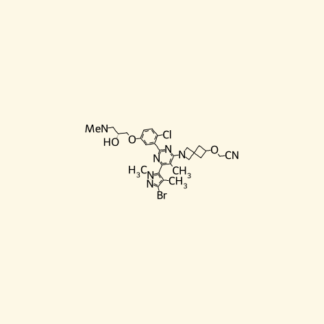 CNC[C@@H](O)COc1ccc(Cl)c(-c2nc(-c3c(C)c(Br)nn3C)c(C)c(N3CC4(CC(OCC#N)C4)C3)n2)c1